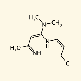 CC(=N)/C=C(\N/C=C\CCl)N(C)C